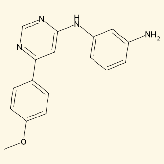 COc1ccc(-c2cc(Nc3cccc(N)c3)ncn2)cc1